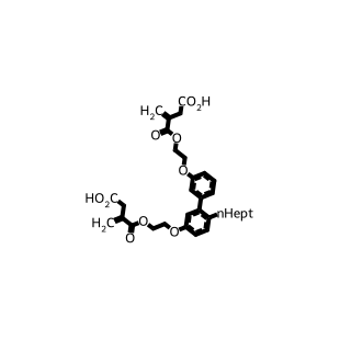 C=C(CC(=O)O)C(=O)OCCOc1cccc(-c2cc(OCCOC(=O)C(=C)CC(=O)O)ccc2CCCCCCC)c1